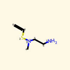 C=CSN(C)CCN